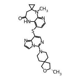 C[C@H]1CC2(CCN(c3ncc(Sc4ccnc5c4NC(=O)CC4(CC4)N5C)c4nccn34)CC2)CO1